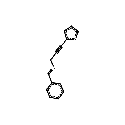 C(#Cc1cccs1)CN=Cc1ccccc1